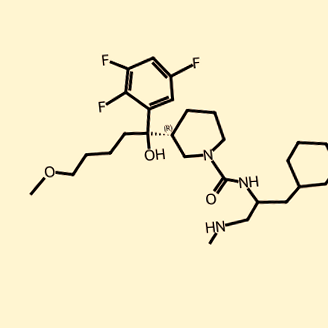 CNCC(CC1CCCCC1)NC(=O)N1CCC[C@@H](C(O)(CCCCOC)c2cc(F)cc(F)c2F)C1